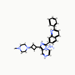 CN1CCN(C2CC(C3=C4C=NC=C[N+]4(N)C(c4ccc5ccc(-c6ccccc6)nc5c4)=N3)C2)CC1